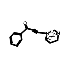 O=C(C#CN1CCN2CCC1CC2)c1ccccc1